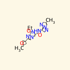 CCOc1nc(C(=O)Nc2cnn3cc(C)cnc23)cn2cc(C34COC(C)(C3)C4)nc12